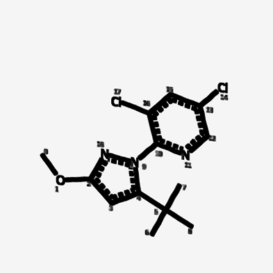 COc1cc(C(C)(C)C)n(-c2ncc(Cl)cc2Cl)n1